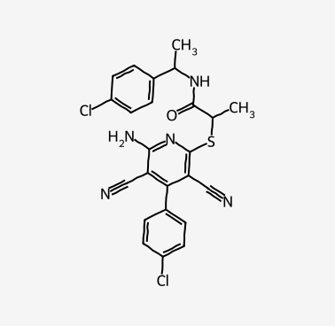 CC(Sc1nc(N)c(C#N)c(-c2ccc(Cl)cc2)c1C#N)C(=O)NC(C)c1ccc(Cl)cc1